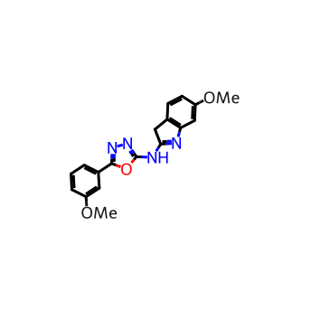 COc1cccc(-c2nnc(NC3=Nc4cc(OC)ccc4C3)o2)c1